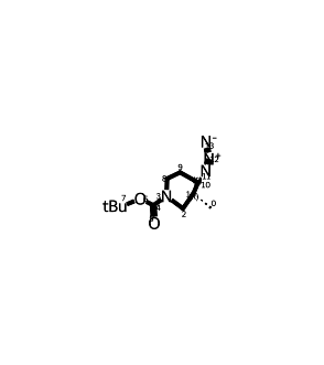 C[C@@H]1CN(C(=O)OC(C)(C)C)CC[C@@H]1N=[N+]=[N-]